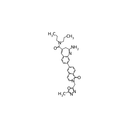 CCCN(CCC)C(=O)C1=Cc2ccc(-c3ccc4c(=O)n(Cc5nnc(C)o5)ccc4c3)cc2N=C(N)C1